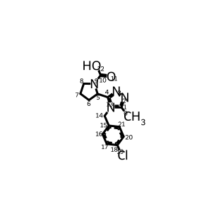 Cc1nnc(C2CCCN2C(=O)O)n1Cc1ccc(Cl)cc1